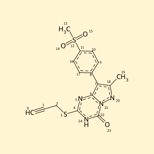 C#CCSc1nc2c(-c3ccc(S(C)(=O)=O)cc3)c(C)nn2c(=O)[nH]1